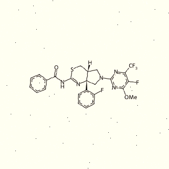 COc1nc(N2C[C@H]3CSC(NC(=O)c4ccccc4)=N[C@@]3(c3ccccc3F)C2)nc(C(F)(F)F)c1F